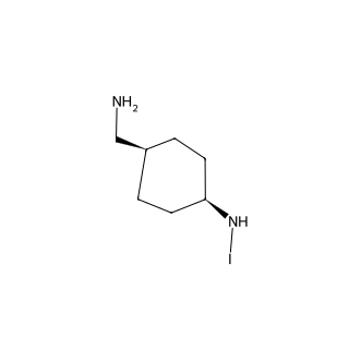 NC[C@H]1CC[C@@H](NI)CC1